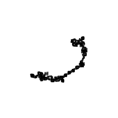 CC(C)(C)CC[C@](C)(NC(=O)COc1cccc(Oc2ccc(C(=O)NCCOCCOCCOCCOCc3cn(CCCCCOc4ncc(-c5ccc6c(n5)N(Cc5cccnc5C#N)C(C)(C)C6=O)cn4)nn3)cn2)c1)C(=O)O